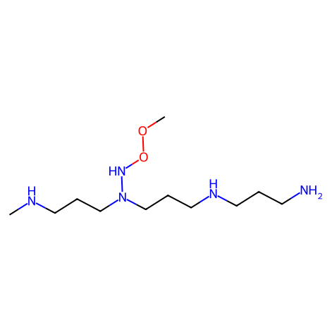 CNCCCN(CCCNCCCN)NOOC